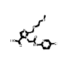 COCCOCc1ncc(C(=O)O)n1CC(=O)Nc1ccc(Cl)cn1